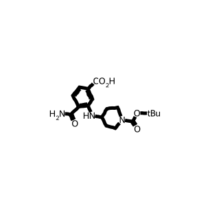 CC(C)(C)OC(=O)N1CCC(Nc2cc(C(=O)O)ccc2C(N)=O)CC1